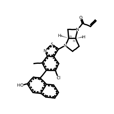 C=CC(=O)N1C[C@H]2[C@@H]1CCN2c1snc2c(C)c(-c3cc(O)cc4ccccc34)c(Cl)cc12